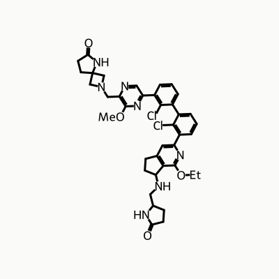 CCOc1nc(-c2cccc(-c3cccc(-c4cnc(CN5CC6(CCC(=O)N6)C5)c(OC)n4)c3Cl)c2Cl)cc2c1C(NCC1CCC(=O)N1)CC2